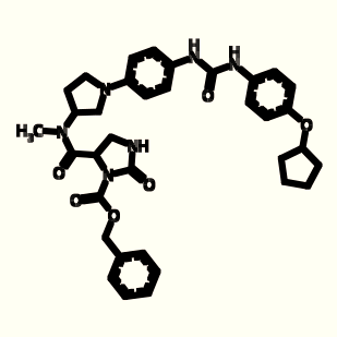 CN(C(=O)C1CNC(=O)N1C(=O)OCc1ccccc1)C1CCN(c2ccc(NC(=O)Nc3ccc(OC4CCCC4)cc3)cc2)C1